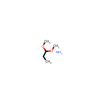 CCC(OC)OC.N